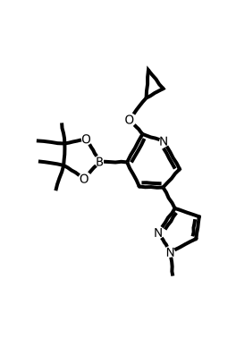 Cn1ccc(-c2cnc(OC3CC3)c(B3OC(C)(C)C(C)(C)O3)c2)n1